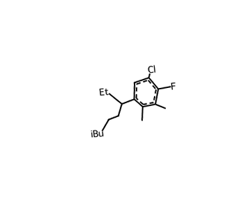 CCC(C)CCC(CC)c1cc(Cl)c(F)c(C)c1C